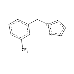 FC(F)(F)c1cccc(Cn2cc[c]n2)c1